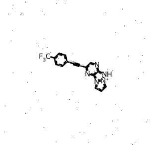 FC(F)(F)c1ccc(C#Cc2cnc3[nH][n+]4cccn4c3n2)cc1